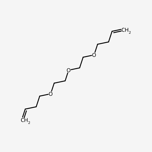 C=CCCOCCOCCOCCC=C